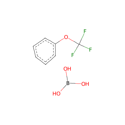 FC(F)(F)Oc1ccccc1.OB(O)O